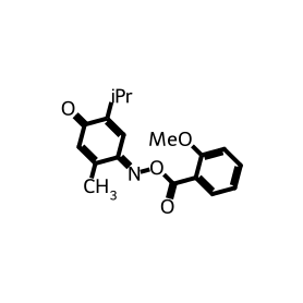 COc1ccccc1C(=O)O/N=C1\C=C(C(C)C)C(=O)C=C1C